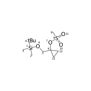 CC(C)(C)[Si](C)(C)OCC1(OS(C)(=O)=O)CC1